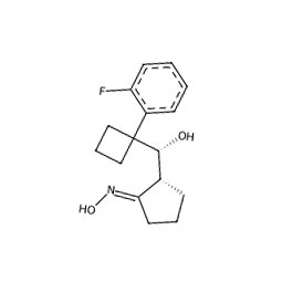 ON=C1CCC[C@H]1[C@@H](O)C1(c2ccccc2F)CCC1